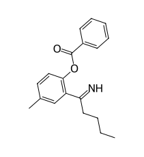 CCCCC(=N)c1cc(C)ccc1OC(=O)c1ccccc1